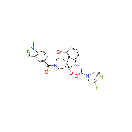 O=C(CN1C(=O)C2(CCN(C(=O)c3ccc4[nH]ncc4c3)CC2)c2c(Br)cccc21)N1C[C@@H](F)[C@@H](F)C1